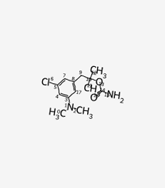 CN(C)c1cc(Cl)cc(CC(C)(C)OC(N)=O)c1